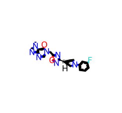 Cn1cnc2ncn(Cc3nc([C@H]4C5=CN(c6cccc(F)c6)C[C@@H]54)no3)c(=O)c21